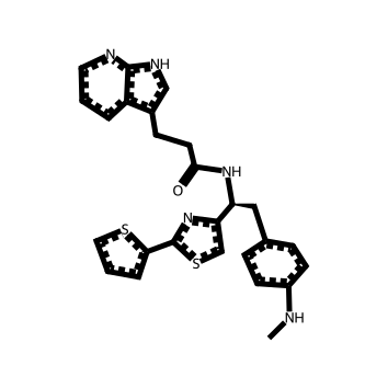 CNc1ccc(C[C@H](NC(=O)CCc2c[nH]c3ncccc23)c2csc(-c3cccs3)n2)cc1